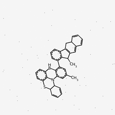 Cc1cc(-c2cccc3c2C(C)C2=C3CC3C=CC=CC3=C2)c2c(c1)N1c3c(cccc3SC3C=CC=CC31)B2